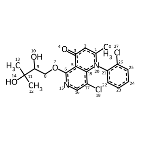 Cc1cc(=O)c2c(OCC(O)C(C)(C)O)ncc(Cl)c2n1-c1ccccc1Cl